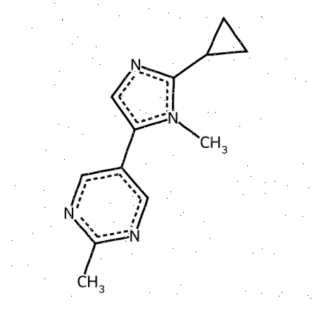 Cc1ncc(-c2cnc(C3CC3)n2C)cn1